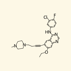 CCOc1cc2ncnc(Nc3ccc(F)c(Cl)c3)c2cc1C#CCCN1CCN(C)CC1